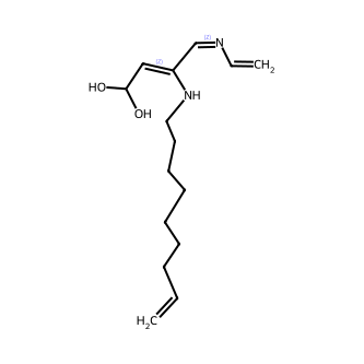 C=CCCCCCCCNC(/C=N\C=C)=C\C(O)O